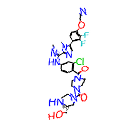 C/N=C(/Nc1ccc(C(=O)N2CCN(C(=O)N3CCN[C@@H](CO)C3)CC2)c(Cl)c1)c1ncc(-c2ccc(OCC#N)c(F)c2F)n1C